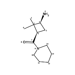 CC1(C)[C@@H](N)C[C@H]1C(=O)N1CCCCC1